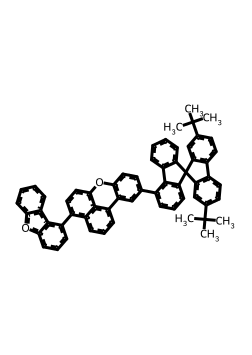 CC(C)(C)c1ccc2c(c1)C1(c3cc(C(C)(C)C)ccc3-2)c2ccccc2-c2c(-c3ccc4c(c3)-c3cccc5c(-c6cccc7oc8ccccc8c67)ccc(c35)O4)cccc21